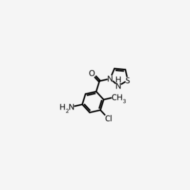 Cc1c(Cl)cc(N)cc1C(=O)N1C=CSN1